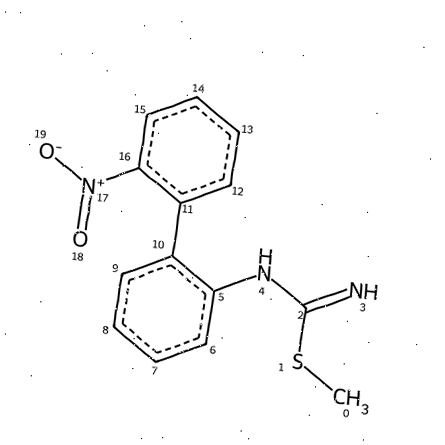 CSC(=N)Nc1ccccc1-c1ccccc1[N+](=O)[O-]